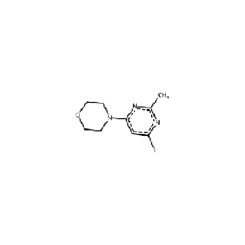 Cc1nc(I)cc(N2CCOCC2)n1